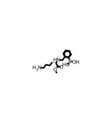 COC(=O)[C@H](CCCCN)NCc1ccccc1B(O)O